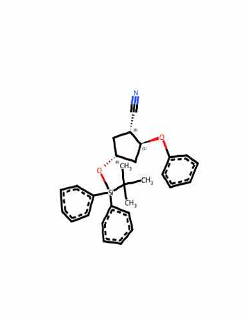 CC(C)(C)[Si](O[C@H]1C[C@H](Oc2ccccc2)[C@@H](C#N)C1)(c1ccccc1)c1ccccc1